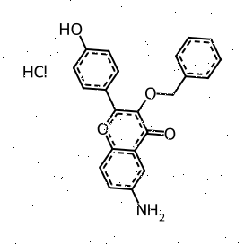 Cl.Nc1ccc2oc(-c3ccc(O)cc3)c(OCc3ccccc3)c(=O)c2c1